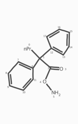 CCCC(C(=O)ON)(c1ccccc1)c1ccccc1